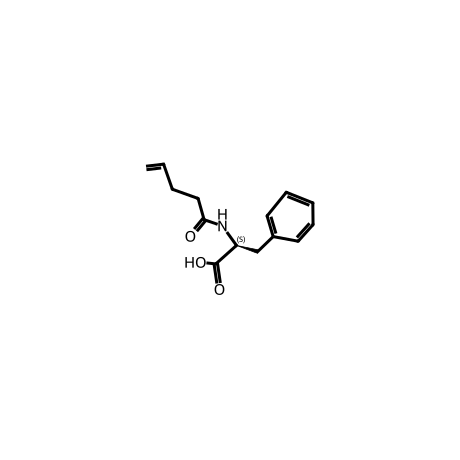 C=CCCC(=O)N[C@@H](Cc1ccccc1)C(=O)O